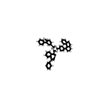 c1ccc(-c2ccc(-c3nc(-c4ccc(-c5cccc6ccc7ccccc7c56)cc4)nc(-c4ccc5sc6ccccc6c5c4)n3)c3ccccc23)cc1